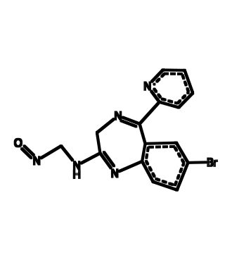 O=NCNC1=Nc2ccc(Br)cc2C(c2ccccn2)=NC1